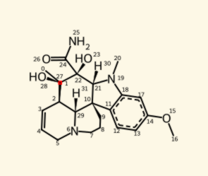 CC[C@]12C=CCN3CCC[C@@]4(c5ccc(OC)cc5N(C)[C@H]4[C@@](O)(C(N)=O)[C@@H]1O)[C@H]32